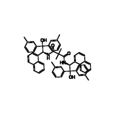 Cc1cccc(C(O)(c2cccc(C)c2)[C@@H](NC(=O)C(C)(C)C(=O)N[C@@H](c2cccc3ccccc23)C(O)(c2cccc(C)c2)c2cccc(C)c2)c2cccc3ccccc23)c1